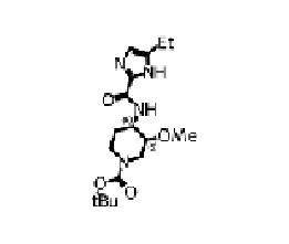 CCc1cnc(C(=O)N[C@@H]2CCN(C(=O)OC(C)(C)C)C[C@@H]2OC)[nH]1